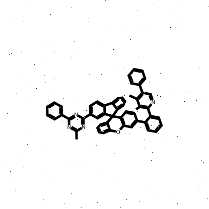 Cc1nc(-c2ccccc2)nc(-c2ccc3c(c2)C2(c4ccccc4Oc4cc(-c5ccccc5-c5ncc(-c6ccccc6)c(C)c5C)ccc42)c2ccccc2-3)n1